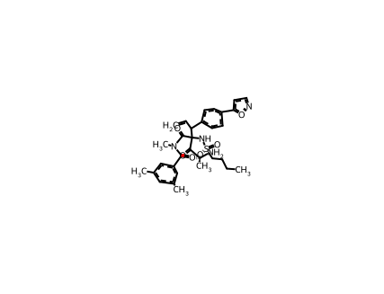 C=CC(c1ccc(-c2ccno2)cc1)C(NS(=O)(=O)CCCC)(C(=O)[C@H](C)N)C(=O)N(C)C(=O)c1cc(C)cc(C)c1